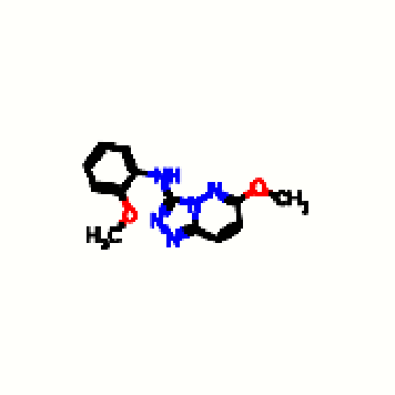 COc1ccc2nnc(Nc3ccccc3OC)n2n1